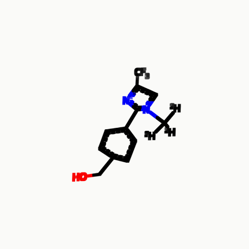 [2H]C([2H])([2H])n1cc(C(F)(F)F)nc1-c1ccc(CO)cc1